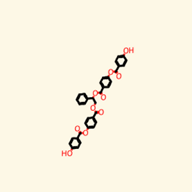 O=C(OCC(OC(=O)c1ccc(OC(=O)c2ccc(O)cc2)cc1)c1ccccc1)c1ccc(OC(=O)c2ccc(O)cc2)cc1